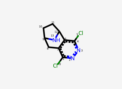 Clc1nnc(Cl)c2c1CC1CCC2N1